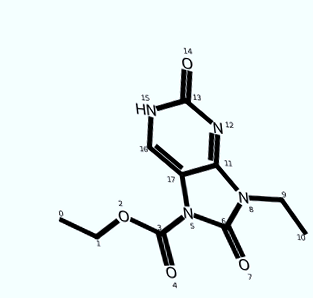 CCOC(=O)n1c(=O)n(CC)c2nc(=O)[nH]cc21